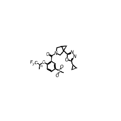 C[C@H](Oc1ccc(S(C)(=O)=O)cc1C(=O)N1CC2CC2(c2nnc(C3CC3)o2)C1)C(F)(F)F